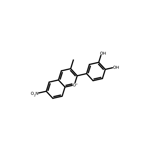 Cc1cc2cc([N+](=O)[O-])ccc2[o+]c1-c1ccc(O)c(O)c1